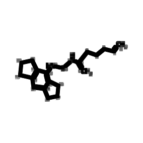 C=CCCCC(=C)NSNc1c2c(cc3c1CCC3)CCC2